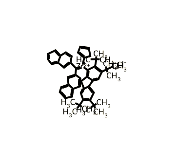 CC(C)(C)c1cc2c(cc1C(C)(C)C)-c1cc(C(C)(C)C)c(C(C)(C)C)[c]([Zr+2]([C]3=CC=CC3)=[C](c3ccc4ccccc4c3)c3ccc4ccccc4c3)c1C2.[Cl-].[Cl-]